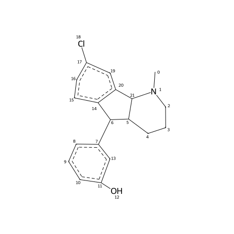 CN1CCCC2C(c3cccc(O)c3)c3ccc(Cl)cc3C21